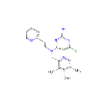 COc1c(C)cnc(CN(CCc2ccccn2)c2cc(Cl)nc(N)n2)c1C